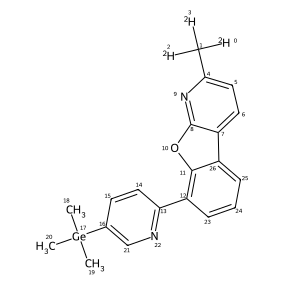 [2H]C([2H])([2H])c1ccc2c(n1)oc1c(-c3cc[c]([Ge]([CH3])([CH3])[CH3])cn3)cccc12